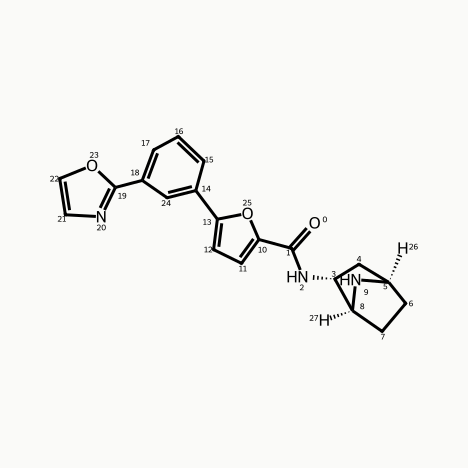 O=C(N[C@@H]1C[C@H]2CC[C@@H]1N2)c1ccc(-c2cccc(-c3ncco3)c2)o1